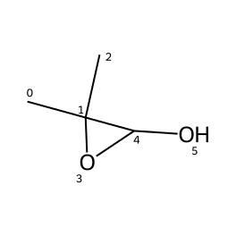 CC1(C)OC1O